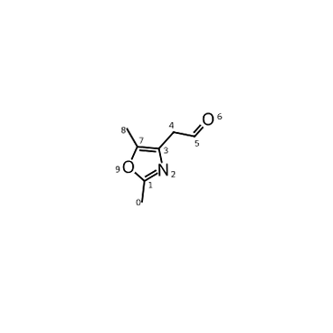 Cc1nc(CC=O)c(C)o1